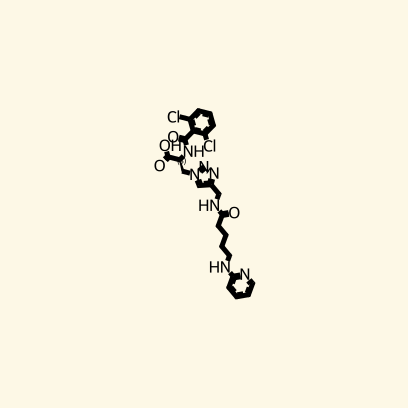 O=C(CCCCNc1ccccn1)NCc1cn(C[C@H](NC(=O)c2c(Cl)cccc2Cl)C(=O)O)nn1